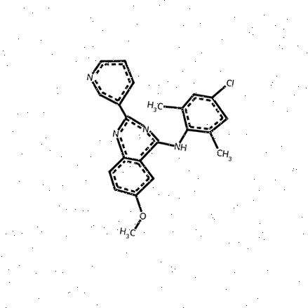 COc1ccc2nc(-c3cccnc3)nc(Nc3c(C)cc(Cl)cc3C)c2c1